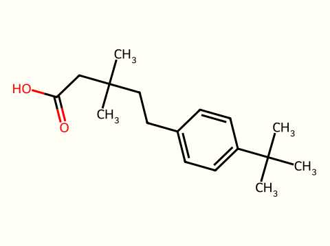 CC(C)(CCc1ccc(C(C)(C)C)cc1)CC(=O)O